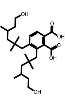 CC(CCO)CC(C)(C)Cc1ccc(C(=O)O)c(C(=O)O)c1CC(C)(C)CC(C)CCO